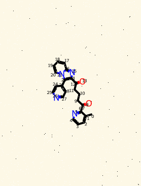 Cc1cccnc1C(=O)CCCC(=O)c1nc2ccccn2c1-c1ccncc1